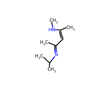 CN/C(C)=C\C(C)=N\C(C)C